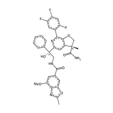 COc1cc(C(=O)NC[C@@](O)(c2ccccc2)c2cc3c(c(-c4cc(F)c(F)cc4F)n2)OC[C@]3(C)C(N)=O)cc2oc(C)nc12